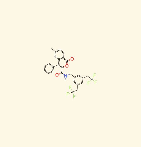 Cc1ccc2c(=O)oc(C(=O)N(C)Cc3cc(CC(F)(F)F)cc(CC(F)(F)F)c3)c(-c3ccccc3)c2c1